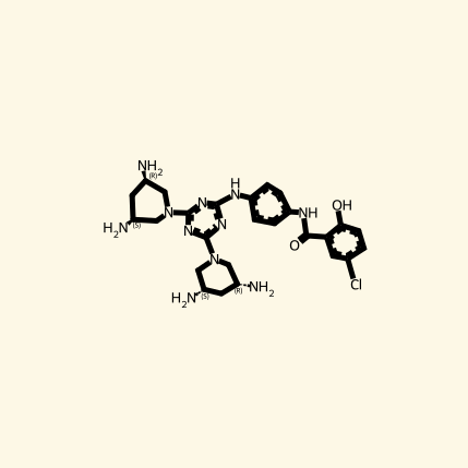 N[C@@H]1C[C@H](N)CN(c2nc(Nc3ccc(NC(=O)c4cc(Cl)ccc4O)cc3)nc(N3C[C@H](N)C[C@H](N)C3)n2)C1